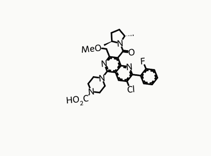 COCc1nc(N2CCN(C(=O)O)CC2)c2cc(Cl)c(-c3ccccc3F)nc2c1C(=O)N1[C@@H](C)CC[C@@H]1C